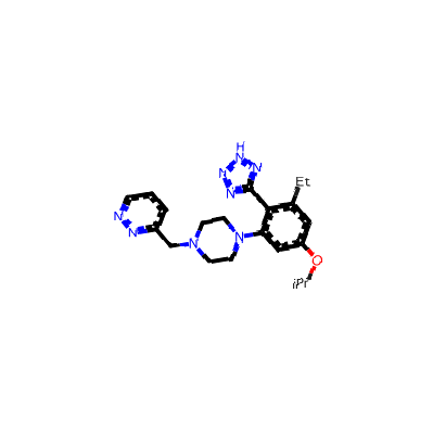 CCc1cc(OC(C)C)cc(N2CCN(Cc3cccnn3)CC2)c1-c1nn[nH]n1